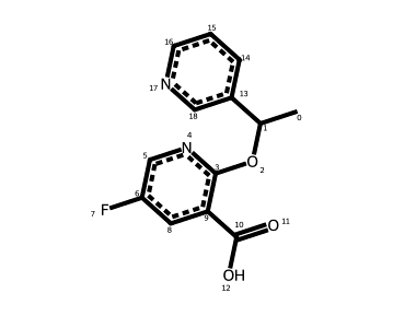 CC(Oc1ncc(F)cc1C(=O)O)c1cccnc1